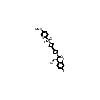 COc1ccc(S(=O)(=O)N2CC(=C3CN(C(=O)[C@H](CO)c4ccc(F)cc4F)C3)C2)nc1